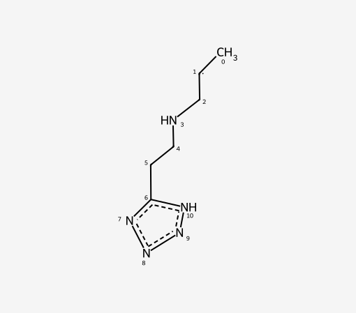 C[CH]CNCCc1nnn[nH]1